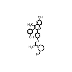 CC1=C(c2cccc(O)c2)C(c2ccc(OCC(C)N3CCCCC(CF)C3)cc2)Oc2ccc(O)cc21